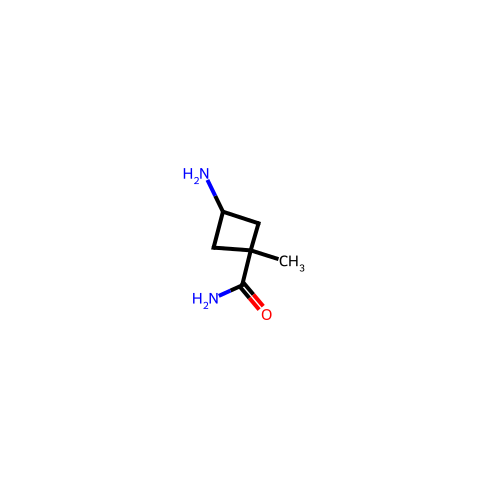 CC1(C(N)=O)CC(N)C1